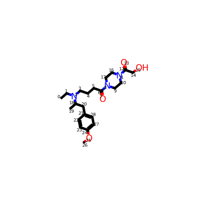 CCN(CCCC(=O)N1CCN(C(=O)CO)CC1)C(C)Cc1ccc(OC)cc1